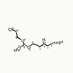 CCCCCCCCNCCOP(O)OCCCl